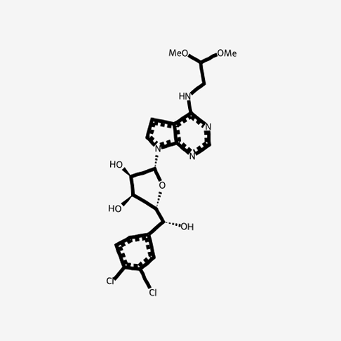 COC(CNc1ncnc2c1ccn2[C@@H]1O[C@H]([C@H](O)c2ccc(Cl)c(Cl)c2)[C@@H](O)[C@H]1O)OC